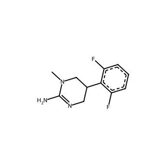 CN1CC(c2c(F)cccc2F)CN=C1N